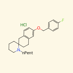 CCCCCN1CCCCC12CCc1cc(OCc3ccc(F)cc3)ccc1C2.Cl